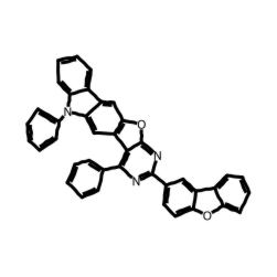 c1ccc(-c2nc(-c3ccc4oc5ccccc5c4c3)nc3oc4cc5c6ccccc6n(-c6ccccc6)c5cc4c23)cc1